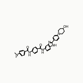 CN(C)c1ccc(C(=O)Nc2ccc(C(=O)Nc3ccc4[nH]c(-c5ccc(N6CCC(O)CC6)cc5)nc4c3)cc2)cc1